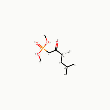 COP(=O)(CC(=O)[C@H](C)CC(C)C)OC